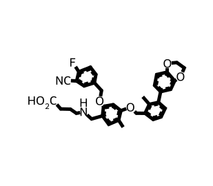 Cc1cc(CNCCCC(=O)O)c(OCc2ccc(F)c(C#N)c2)cc1OCc1cccc(-c2ccc3c(c2)OCCO3)c1C